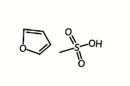 CS(=O)(=O)O.c1ccoc1